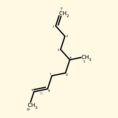 C=CCCC(C)CC/C=C/C